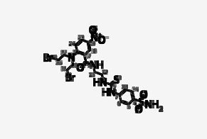 NS(=O)(=O)c1ccc(NC(=S)NCCNC(=O)c2cc([N+](=O)[O-])ccc2N(CCBr)CCBr)cc1